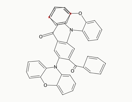 O=C(c1ccccc1)c1cc(N2c3ccccc3Oc3ccccc32)c(C(=O)c2ccccc2)cc1N1c2ccccc2Oc2ccccc21